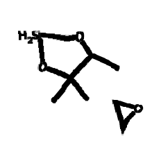 C1CO1.CC1O[SiH2]OC1(C)C